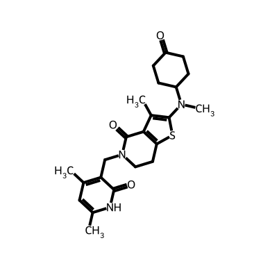 Cc1cc(C)c(CN2CCc3sc(N(C)C4CCC(=O)CC4)c(C)c3C2=O)c(=O)[nH]1